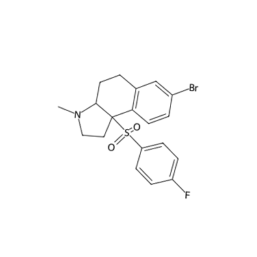 CN1CCC2(S(=O)(=O)c3ccc(F)cc3)c3ccc(Br)cc3CCC12